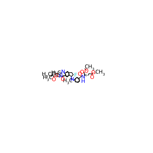 CCOC(=O)CC[C@H](NC(=O)c1cccc(N(C)C2CCc3cc4nc(C)n(COC(=O)C(C)(C)C)c(=O)c4cc32)c1F)C(=O)OCC